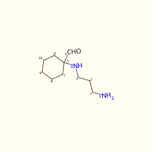 NCCCNC1(C=O)CCCCC1